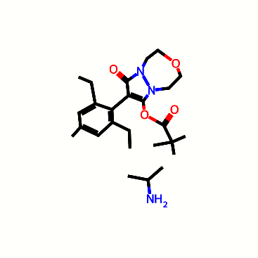 CC(C)N.CCc1cc(C)cc(CC)c1-c1c(OC(=O)C(C)(C)C)n2n(c1=O)CCOCC2